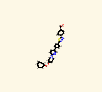 O=C[C@H]1CC[C@H](c2nnc(-c3ccc(-c4ccc(N5CCC(OC6CCCCC6)CC5)nc4)cc3)s2)CC1